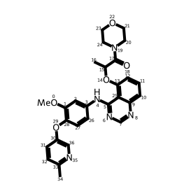 COc1cc(Nc2ncnc3cccc(OC(C)C(=O)N4CCOCC4)c23)ccc1Oc1ccc(C)nc1